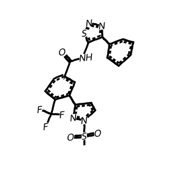 CS(=O)(=O)n1ccc(-c2cc(C(=O)Nc3snnc3-c3ccccc3)ccc2C(F)(F)F)n1